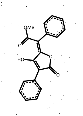 COC(=O)/C(=C1/OC(=O)C(c2ccccc2)=C1O)c1ccccc1